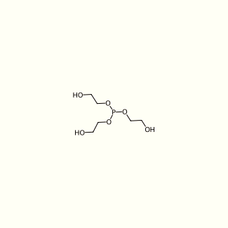 OCCOP(OCCO)OCCO